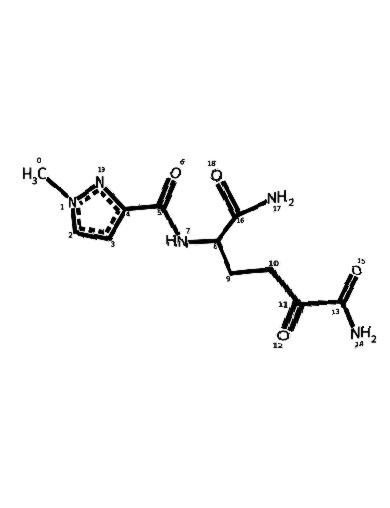 Cn1ccc(C(=O)NC(CCC(=O)C(N)=O)C(N)=O)n1